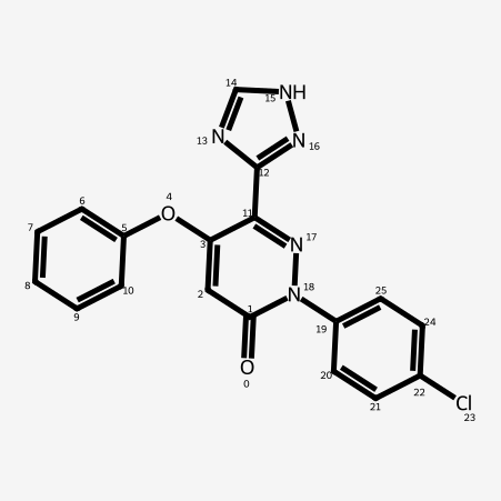 O=c1cc(Oc2ccccc2)c(-c2nc[nH]n2)nn1-c1ccc(Cl)cc1